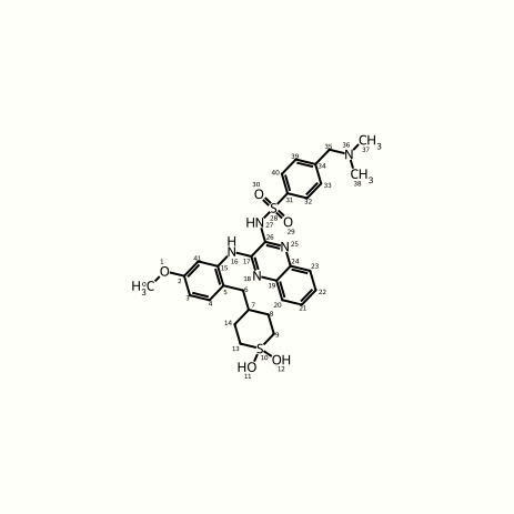 COc1ccc(CC2CCS(O)(O)CC2)c(Nc2nc3ccccc3nc2NS(=O)(=O)c2ccc(CN(C)C)cc2)c1